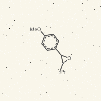 CCCC1OC1c1ccc(OC)cc1